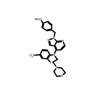 COc1ccc(Cn2ncc3c(N(CCN4CCOCC4)c4ccc([N+](=O)[O-])cc4F)ccnc32)cc1